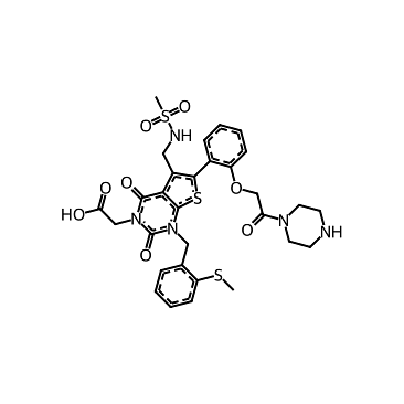 CSc1ccccc1Cn1c(=O)n(CC(=O)O)c(=O)c2c(CNS(C)(=O)=O)c(-c3ccccc3OCC(=O)N3CCNCC3)sc21